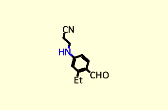 CCc1cc(NCCC#N)ccc1C=O